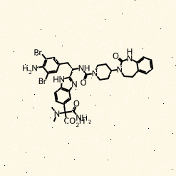 CN(C)C(C(N)=O)(C(=O)O)c1ccc2[nH]c([C@@H](Cc3cc(Br)c(N)c(Br)c3)NC(=O)N3CCC(N4CCc5ccccc5NC4=O)CC3)nc2c1